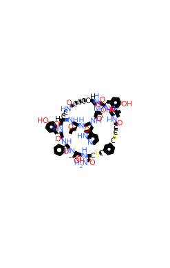 CCC[C@@H]1NC(=O)[C@H](Cc2c[nH]c3ncccc23)NC(=O)[C@@H]([C@@H](C)O)NC(=O)[C@@H]2CCCCC(=O)NCC[C@H](NC1=O)C(=O)N[C@@H](Cc1ccc(O)cc1)C(=O)N[C@@H](C1CCCCC1)C(=O)N[C@@H]([C@@H](C)O)C(=O)N[C@H](C(N)=O)CSCc1cccc(c1)CSCCC(=O)N[C@@H](C(C)(C)C)C(=O)N[C@@H](Cc1ccc(O)cc1)C(=O)N2